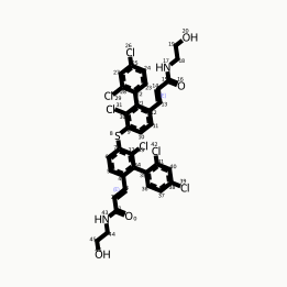 O=C(/C=C/c1ccc(Sc2ccc(/C=C/C(=O)NCCO)c(-c3ccc(Cl)cc3Cl)c2Cl)c(Cl)c1-c1ccc(Cl)cc1Cl)NCCO